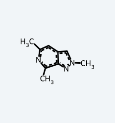 Cc1cc2cn(C)nc2c(C)n1